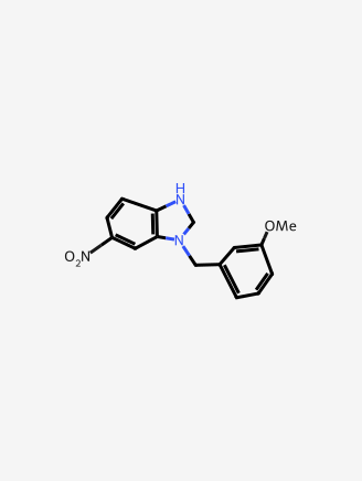 COc1cccc(CN2CNc3ccc([N+](=O)[O-])cc32)c1